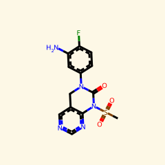 CS(=O)(=O)N1C(=O)N(c2ccc(F)c(N)c2)Cc2cncnc21